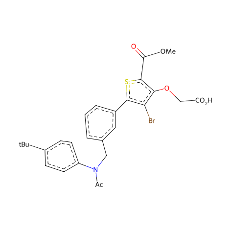 COC(=O)c1sc(-c2cccc(CN(C(C)=O)c3ccc(C(C)(C)C)cc3)c2)c(Br)c1OCC(=O)O